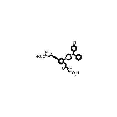 NN(CCC#Cc1ccc(CC(=O)NCC(=O)O)c(N2CCN([C@H](c3ccccc3)c3ccc(Cl)cc3)CC2)c1)C(=O)O